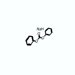 O=C(Oc1ccccc1)Oc1ccccc1.[NaH]